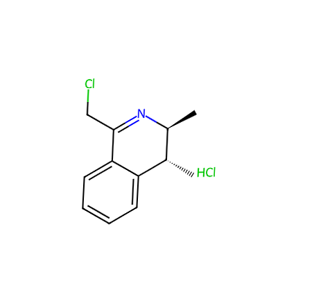 C[C@@H]1N=C(CCl)c2ccccc2[C@H]1C.Cl